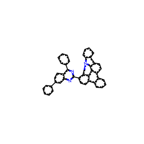 c1ccc(-c2ccc3c(-c4ccccc4)nc(-c4ccc5c6ccccc6c6ccc7c8ccccc8n8c4c5c6c78)nc3c2)cc1